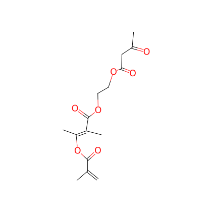 C=C(C)C(=O)OC(C)=C(C)C(=O)OCCOC(=O)CC(C)=O